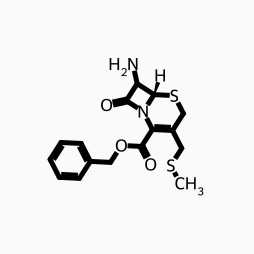 CSCC1=C(C(=O)OCc2ccccc2)N2C(=O)C(N)[C@@H]2SC1